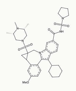 COc1ccc2c(c1)C1CC1(S(=O)(=O)N1C[C@@H](C)N(C)[C@@H](C)C1)Cn1c-2c(C2CCCCC2)c2ccc(C(=O)NS(=O)(=O)N3CCCC3)cc21